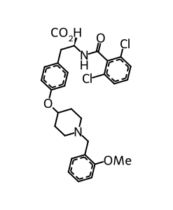 COc1ccccc1CN1CCC(Oc2ccc(C[C@H](NC(=O)c3c(Cl)cccc3Cl)C(=O)O)cc2)CC1